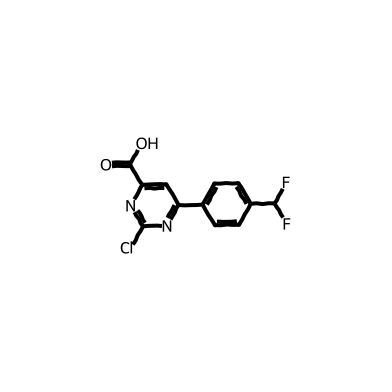 O=C(O)c1cc(-c2ccc(C(F)F)cc2)nc(Cl)n1